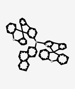 c1ccc2c(c1)Oc1ccccc1C21c2ccccc2-c2ccc(N(c3ccc4c(c3)C3(c5ccccc5Oc5ccccc53)c3ccccc3-4)c3ccc4c(ccc5ccccc54)c3)cc21